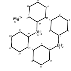 [BH2-](C1CCCCC1)C1CCCCC1.[BH2-](C1CCCCC1)C1CCCCC1.[Mg+2]